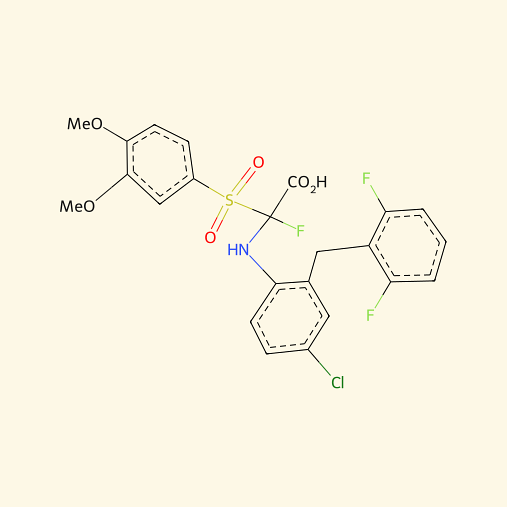 COc1ccc(S(=O)(=O)C(F)(Nc2ccc(Cl)cc2Cc2c(F)cccc2F)C(=O)O)cc1OC